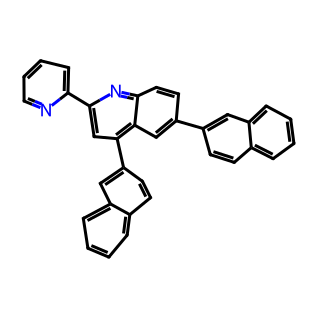 c1ccc(-c2cc(-c3ccc4ccccc4c3)c3cc(-c4ccc5ccccc5c4)ccc3n2)nc1